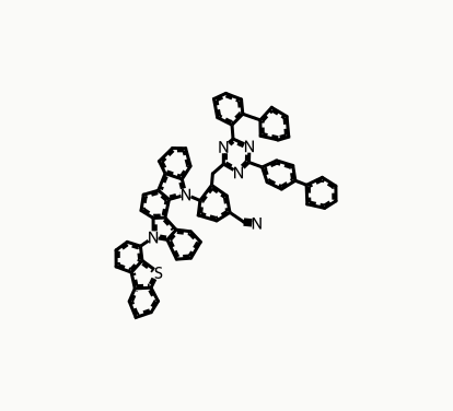 N#Cc1ccc(-n2c3ccccc3c3ccc4c(c5ccccc5n4-c4cccc5c4sc4ccccc45)c32)c(Cc2nc(-c3ccc(-c4ccccc4)cc3)nc(-c3ccccc3-c3ccccc3)n2)c1